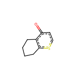 O=c1ccsc2c1CCCC2